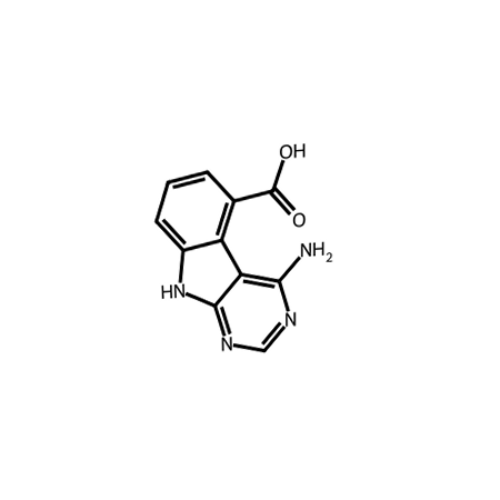 Nc1ncnc2[nH]c3cccc(C(=O)O)c3c12